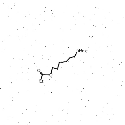 CCCCCCCCCCCCOC(=O)CC